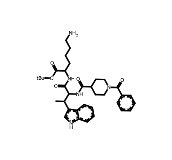 CC(c1c[nH]c2ccccc12)C(NC(=O)C1CCN(C(=O)c2ccccc2)CC1)C(=O)NC(CCCCN)C(=O)OC(C)(C)C